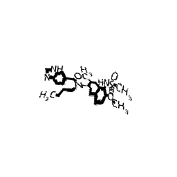 CCCCN(C(=O)c1ccc2nc[nH]c2c1)[C@@H]1Cc2ccc(OC)c(NS(C)(=O)=O)c2C[C@@H]1C